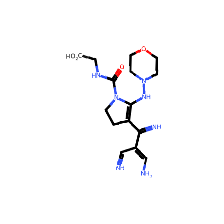 N=C/C(=C\N)C(=N)C1=C(NN2CCOCC2)N(C(=O)NCC(=O)O)CC1